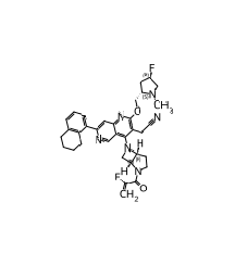 C=C(F)C(=O)N1CC[C@@H]2[C@H]1CN2c1c(CC#N)c(OC[C@@H]2C[C@@H](F)CN2C)nc2cc(-c3cccc4c3CCCC4)ncc12